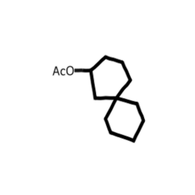 CC(=O)OC1CCCC2(CCCCC2)C1